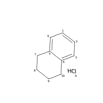 Cl.c1ccc2c(c1)CCCC2